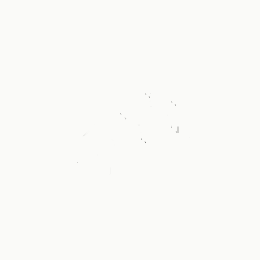 N=C(Nc1ccc(Cl)c(Cl)c1)c1nonc1N